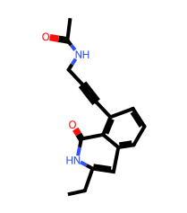 CCc1cc2cccc(C#CCNC(C)=O)c2c(=O)[nH]1